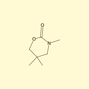 CN1CC(C)(C)COC1=O